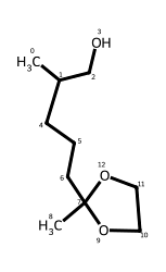 CC(CO)CCCC1(C)OCCO1